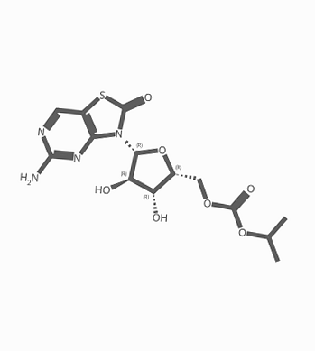 CC(C)OC(=O)OC[C@H]1O[C@@H](n2c(=O)sc3cnc(N)nc32)[C@H](O)[C@H]1O